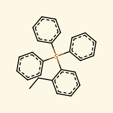 CCc1ccccc1S(c1ccccc1)(c1ccccc1)c1ccccc1